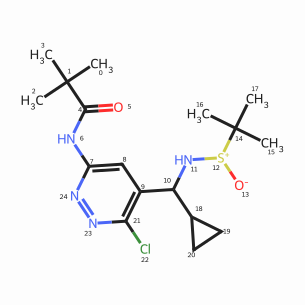 CC(C)(C)C(=O)Nc1cc(C(N[S+]([O-])C(C)(C)C)C2CC2)c(Cl)nn1